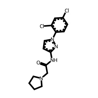 O=C(CN1CCCC1)Nc1ccn(-c2ccc(Cl)cc2Cl)n1